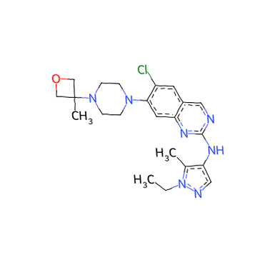 CCn1ncc(Nc2ncc3cc(Cl)c(N4CCN(C5(C)COC5)CC4)cc3n2)c1C